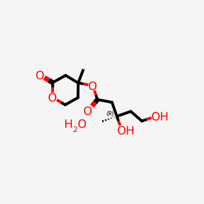 CC1(OC(=O)C[C@](C)(O)CCO)CCOC(=O)C1.O